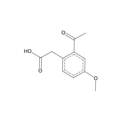 COc1ccc(CC(=O)O)c(C(C)=O)c1